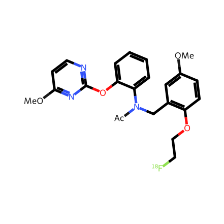 COc1ccc(OCC[18F])c(CN(C(C)=O)c2ccccc2Oc2nccc(OC)n2)c1